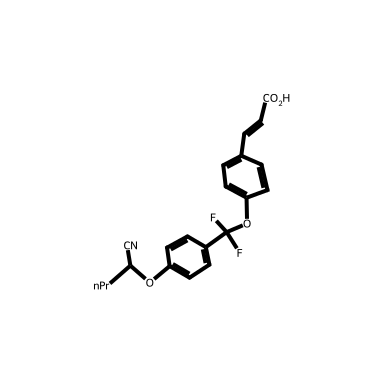 CCCC(C#N)Oc1ccc(C(F)(F)Oc2ccc(C=CC(=O)O)cc2)cc1